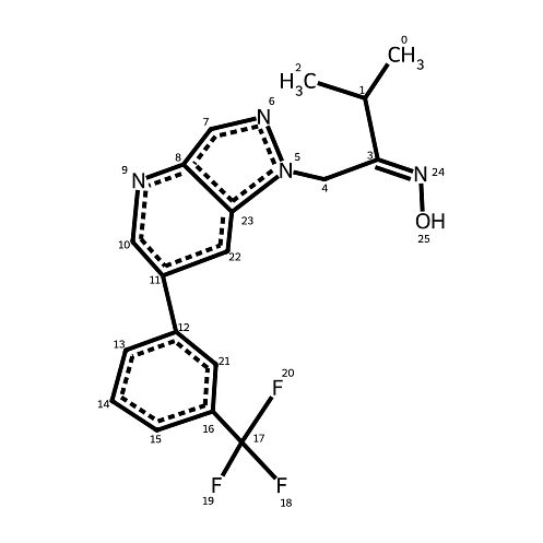 CC(C)/C(Cn1ncc2ncc(-c3cccc(C(F)(F)F)c3)cc21)=N/O